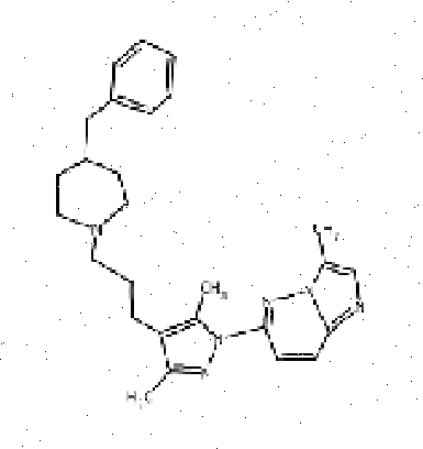 Cc1nn(-c2ccc3ncc(C)n3n2)c(C)c1CCCN1CCC(Cc2ccccc2)CC1